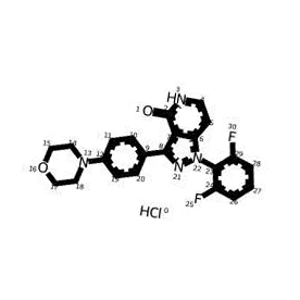 Cl.O=c1[nH]ccc2c1c(-c1ccc(N3CCOCC3)cc1)nn2-c1c(F)cccc1F